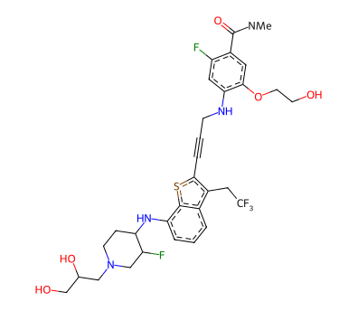 CNC(=O)c1cc(OCCO)c(NCC#Cc2sc3c(NC4CCN(CC(O)CO)CC4F)cccc3c2CC(F)(F)F)cc1F